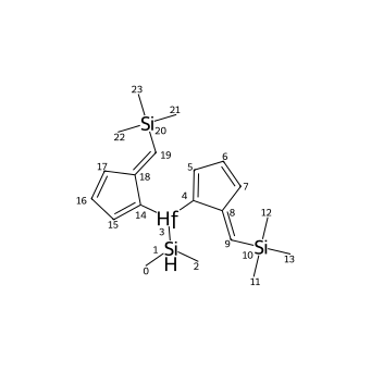 C[SiH](C)[Hf]([C]1=CC=CC1=C[Si](C)(C)C)[C]1=CC=CC1=C[Si](C)(C)C